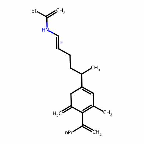 C=C(CC)N/C=C/CCC(C)C1=CC(C)=C(C(=C)CCC)C(=C)C1